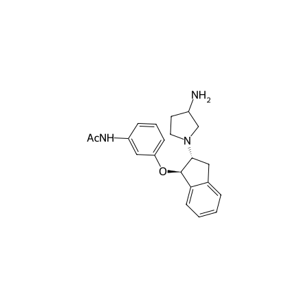 CC(=O)Nc1cccc(O[C@@H]2c3ccccc3C[C@H]2N2CCC(N)C2)c1